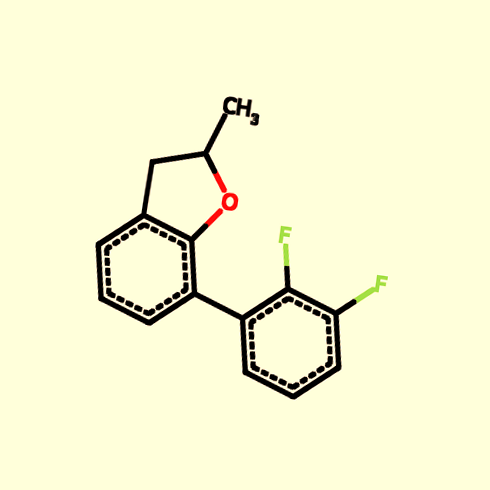 CC1Cc2cccc(-c3cccc(F)c3F)c2O1